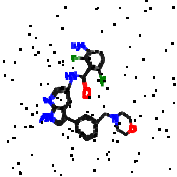 Nc1ccc(F)c(C(=O)Nc2cnc3[nH]cc(-c4cccc(CN5CCOCC5)c4)c3c2)c1F